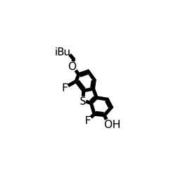 CCC(C)COc1ccc2c(sc3c(F)c(O)ccc32)c1F